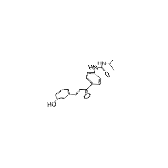 CC(C)NC(=O)Nc1ccc(C(=O)C=Cc2cccc(O)c2)cc1